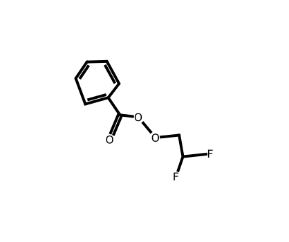 O=C(OOCC(F)F)c1ccccc1